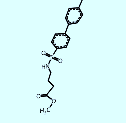 COC(=O)CCCNS(=O)(=O)c1ccc(-c2ccc(C#N)cc2)cc1